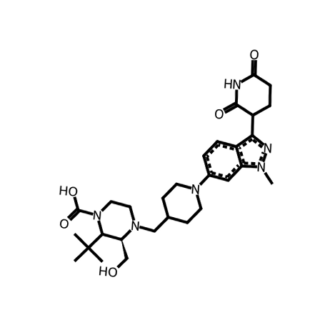 Cn1nc(C2CCC(=O)NC2=O)c2ccc(N3CCC(CN4CCN(C(=O)O)C(C(C)(C)C)[C@@H]4CO)CC3)cc21